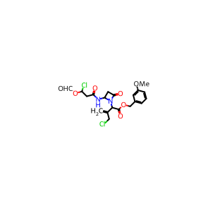 C=C(CCl)C(C(=O)OCc1cccc(OC)c1)N1C(=O)CC1NC(=O)CC(Cl)OC=O